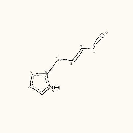 O=C/C=C/Cc1ccc[nH]1